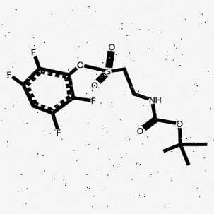 CC(C)(C)OC(=O)NCCS(=O)(=O)Oc1c(F)c(F)cc(F)c1F